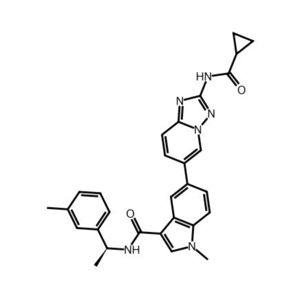 Cc1cccc([C@H](C)NC(=O)c2cn(C)c3ccc(-c4ccc5nc(NC(=O)C6CC6)nn5c4)cc23)c1